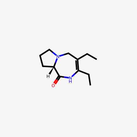 CCC1=C(CC)NC(=O)[C@@H]2CCCN2C1